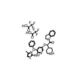 Cc1csc(Nc2ncc(SC(C(=O)N3CCc4ccccc43)C3CCNCC3)cc2Oc2ccccc2)n1.O=C(O)C(F)(F)F.O=C(O)C(F)(F)F